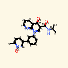 Cc1ccc(-c2cccc(-n3cc(C(=O)NC(C)C)c(=O)c4cccnc43)c2)c[n+]1[O-]